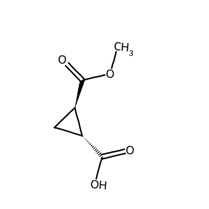 COC(=O)[C@@H]1C[C@H]1C(=O)O